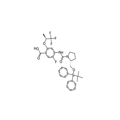 C[C@H](Oc1cc(NC(=O)N2CCC[C@@H]2CO[Si](c2ccccc2)(c2ccccc2)C(C)(C)C)c(F)cc1C(=O)O)C(F)(F)F